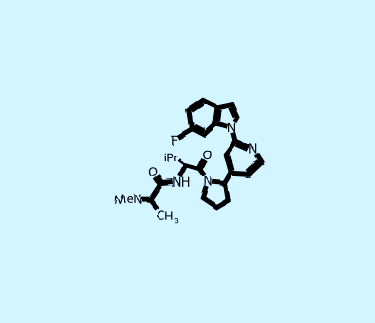 CNC(C)C(=O)N[C@H](C(=O)N1CCCC1c1ccnc(-n2ccc3ccc(F)cc32)c1)C(C)C